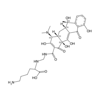 CN(C)[C@@H]1C(O)=C(C(=O)NCNC(CCCCN)C(=O)O)C(=O)[C@@]2(O)C(O)=C3C(=O)c4c(O)cccc4[C@@](C)(O)[C@H]3C[C@@H]12